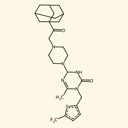 CC1=NC(N2CCN(CC(=O)C34CC5CC(CC(C5)C3)C4)CC2)NC(=O)N1Cc1ccc(C(F)(F)F)s1